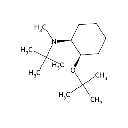 CN([C@H]1CCCC[C@H]1OC(C)(C)C)C(C)(C)C